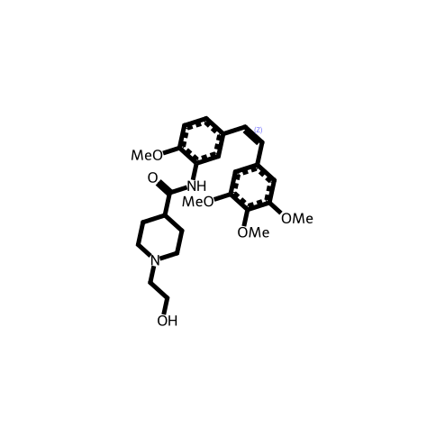 COc1ccc(/C=C\c2cc(OC)c(OC)c(OC)c2)cc1NC(=O)C1CCN(CCO)CC1